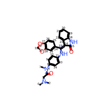 CN(C)CC(=O)N(C)c1ccc(N/C(=C2\C(=O)Nc3ccccc32)c2ccc3c(c2)OCO3)cc1